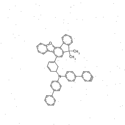 CC1(C)c2ccccc2-c2c1cc(C1=CC=CC(N(c3ccc(-c4cc#ccc4)cc3)c3ccc(-c4ccccc4)cc3)C1)c1c2oc2ccccc21